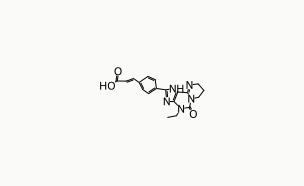 CCN1C(=O)N2CCCN=C2c2[nH]c(-c3ccc(/C=C/C(=O)O)cc3)nc21